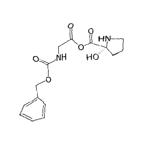 O=C(CNC(=O)OCc1ccccc1)OC(=O)[C@]1(O)CCCN1